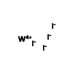 [I-].[I-].[I-].[I-].[W+4]